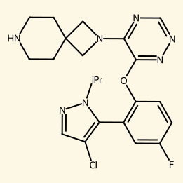 CC(C)n1ncc(Cl)c1-c1cc(F)ccc1Oc1nncnc1N1CC2(CCNCC2)C1